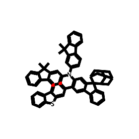 CC1(C)c2ccccc2-c2ccc(N(c3ccc4c(c3)C(C)(C)c3ccccc3-4)c3cc4c(cc3-c3ccc5c(c3)sc3ccccc35)-c3ccccc3C43C4CC5CC(C4)CC3C5)cc21